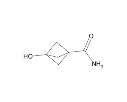 NC(=O)C12CC(O)(C1)C2